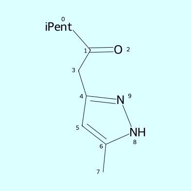 CCCC(C)C(=O)Cc1cc(C)[nH]n1